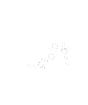 Cc1ccc(C2(Nc3ccc4c(c3)Sc3cccc(-c5cc(N6CCOCC6)cc(=O)[nH]5)c3S4)CC2)nc1